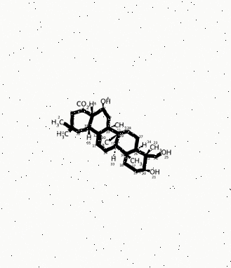 CC1(C)CC[C@]2(C(=O)O)[C@H](O)C[C@]3(C)C(=CC[C@@H]4[C@@]5(C)CC[C@H](O)[C@@](C)(CO)[C@@H]5CC[C@]43C)[C@@H]2C1